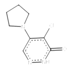 O=c1[nH]ncc(N2C[CH]CC2)c1Cl